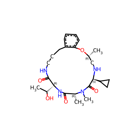 CC(O)[C@H]1NC(=O)[C@@H](C)N(C)C(=O)[C@H](C2CC2)NC[C@@H](C)Oc2ccccc2CCCNC1=O